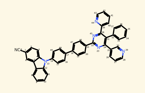 N#Cc1ccc2c(c1)c1ccccc1n2-c1ccc(-c2ccc(-c3nc(-c4cccnc4)c(-c4ccccc4)c(-c4ccccn4)n3)cc2)cc1